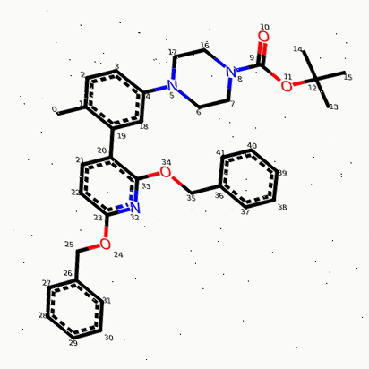 Cc1ccc(N2CCN(C(=O)OC(C)(C)C)CC2)cc1-c1ccc(OCc2ccccc2)nc1OCc1ccccc1